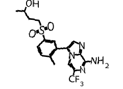 Cc1ccc(S(=O)(=O)CCC(C)O)cc1-c1cnc2c(N)nc(C(F)(F)F)cn12